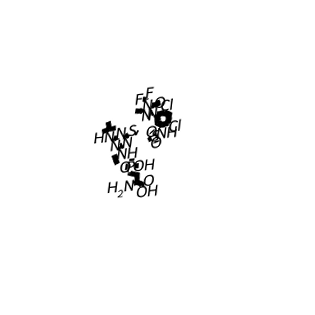 CCNc1nc(NC(C)(C)C)nc(SC)n1.CP(=O)(O)CCC(N)C(=O)O.Cc1nn(-c2cc(NS(C)(=O)=O)c(Cl)cc2Cl)c(=O)n1C(F)F